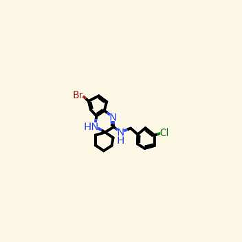 Clc1cccc(CNC2=Nc3ccc(Br)cc3NC23CCCCC3)c1